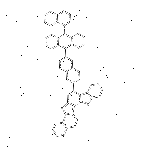 c1ccc2c(-c3c4ccccc4c(-c4ccc5cc(-c6cc7oc8c9ccccc9ccc8c7c7oc8ccccc8c67)ccc5c4)c4ccccc34)cccc2c1